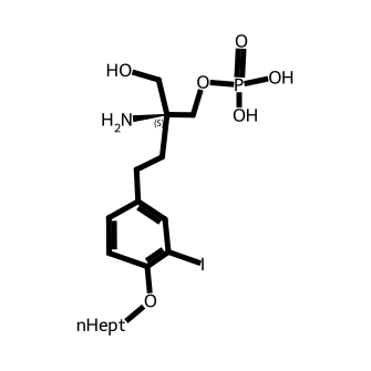 CCCCCCCOc1ccc(CC[C@](N)(CO)COP(=O)(O)O)cc1I